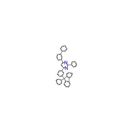 c1ccc(-c2cccc(-c3cc(-c4cccc(C5(c6ccccc6)c6ccccc6-c6ccccc65)c4)nc(-c4ccccc4)n3)c2)cc1